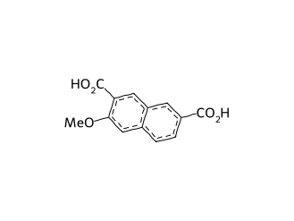 COc1cc2ccc(C(=O)O)cc2cc1C(=O)O